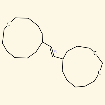 C(=C\C1CCCCCCCCCCC1)/C1CCCCCCCCCCC1